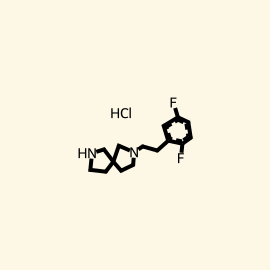 Cl.Fc1ccc(F)c(CCN2CCC3(CCNC3)C2)c1